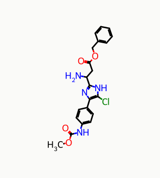 COC(=O)Nc1ccc(-c2nc(C(N)CC(=O)OCc3ccccc3)[nH]c2Cl)cc1